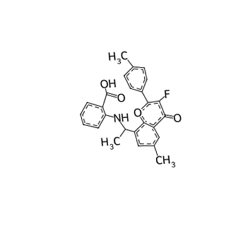 Cc1ccc(-c2oc3c(C(C)Nc4ccccc4C(=O)O)cc(C)cc3c(=O)c2F)cc1